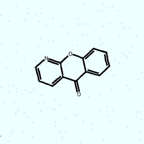 O=c1c2ccccc2oc2n[c]ccc12